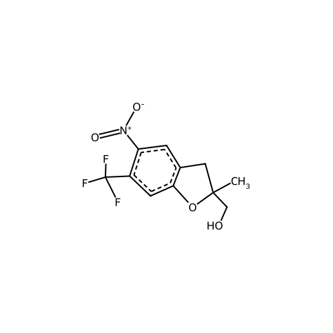 CC1(CO)Cc2cc([N+](=O)[O-])c(C(F)(F)F)cc2O1